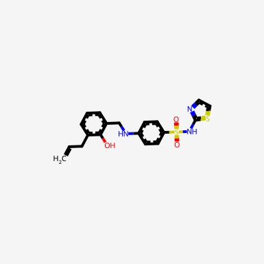 C=CCc1cccc(CNc2ccc(S(=O)(=O)Nc3nccs3)cc2)c1O